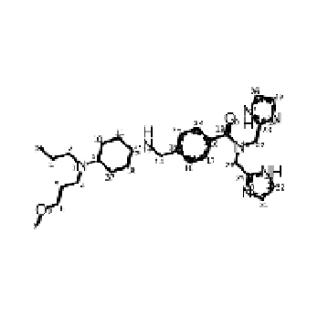 CCCN(CCCOC)[C@H]1CC[C@H](NCc2ccc(C(=O)N(Cc3ncc[nH]3)Cc3ncc[nH]3)cc2)CC1